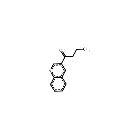 CCCC(=O)c1cnc2ccccc2c1